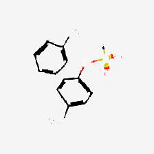 CSc1ccc(OS(=O)(=O)C(F)(F)F)cc1.CSc1ccccc1